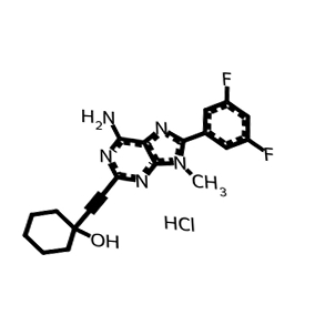 Cl.Cn1c(-c2cc(F)cc(F)c2)nc2c(N)nc(C#CC3(O)CCCCC3)nc21